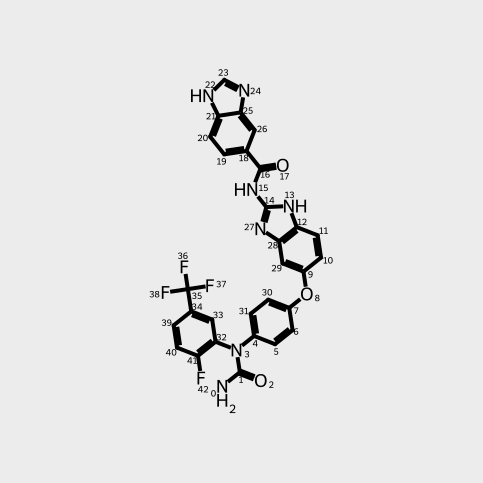 NC(=O)N(c1ccc(Oc2ccc3[nH]c(NC(=O)c4ccc5[nH]cnc5c4)nc3c2)cc1)c1cc(C(F)(F)F)ccc1F